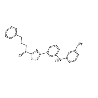 CC(C)c1cccc(Nc2cccc(-c3ccc(C(=O)CCCc4ccccc4)s3)c2)c1